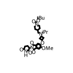 COc1cc2c(cc1OC1CC(N(CC3CCN(C(=O)OC(C)(C)C)CC3)C(C)C)C1)C(=O)N([C@@H]1CCC(=O)NC1=O)C2=O